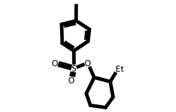 CCC1CCCCC1OS(=O)(=O)c1ccc(C)cc1